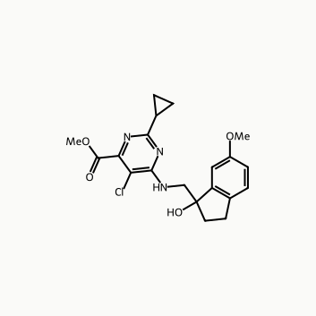 COC(=O)c1nc(C2CC2)nc(NCC2(O)CCc3ccc(OC)cc32)c1Cl